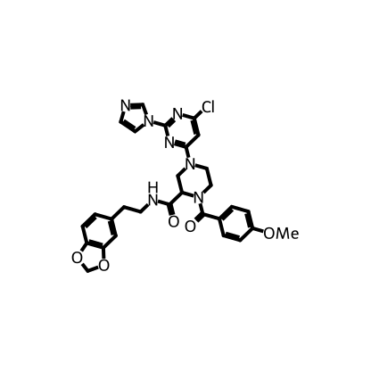 COc1ccc(C(=O)N2CCN(c3cc(Cl)nc(-n4ccnc4)n3)CC2C(=O)NCCc2ccc3c(c2)OCO3)cc1